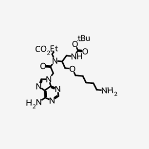 CCOC(=O)CN(C(=O)Cn1cnc2c(N)ncnc21)C(CNC(=O)OC(C)(C)C)COCCCCCN